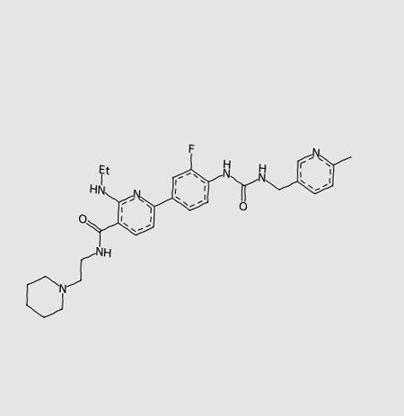 CCNc1nc(-c2ccc(NC(=O)NCc3ccc(C)nc3)c(F)c2)ccc1C(=O)NCCN1CCCCC1